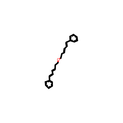 C(C=Cc1ccccc1)=CCCOCCC=CC=Cc1ccccc1